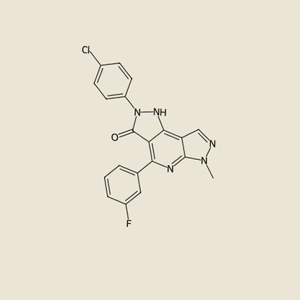 Cn1ncc2c3[nH]n(-c4ccc(Cl)cc4)c(=O)c3c(-c3cccc(F)c3)nc21